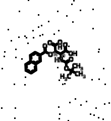 CC(C)(C)OC(=O)N[C@H](C(=O)O)[C@H](OC(=O)c1ccc2ccccc2c1)C(=O)O